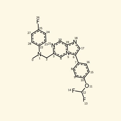 CN(Cc1cn2c(-c3ccc(OC(F)F)cc3)cnc2cn1)c1ccc(F)cc1